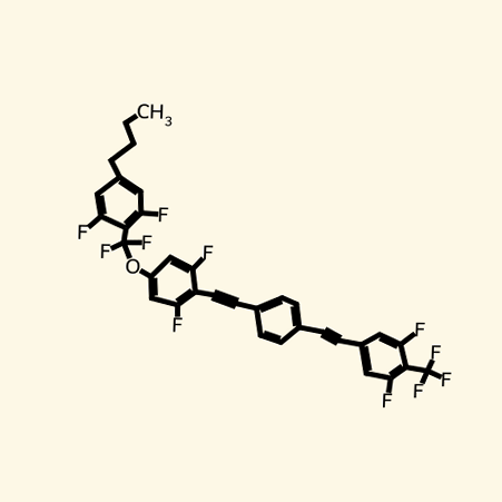 CCCCc1cc(F)c(C(F)(F)Oc2cc(F)c(C#Cc3ccc(C#Cc4cc(F)c(C(F)(F)F)c(F)c4)cc3)c(F)c2)c(F)c1